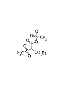 CCOC(=O)C(C(=O)OS(=O)(=O)C(F)(F)F)S(=O)(=O)C(F)(F)F